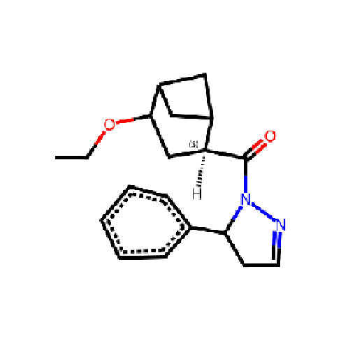 CCOC1C[C@H](C(=O)N2N=CCC2c2ccccc2)C2CC1C2